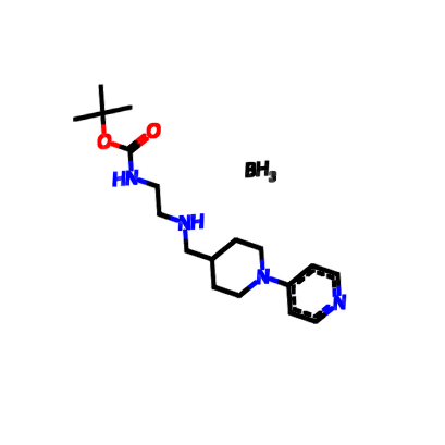 B.CC(C)(C)OC(=O)NCCNCC1CCN(c2ccncc2)CC1